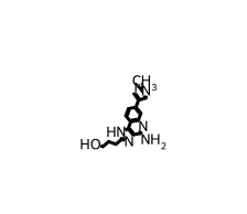 Cn1cc(-c2ccc3c(c2)nc(N)c2nc(CCCO)[nH]c23)cn1